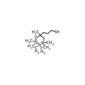 CC1(CCCS)C[Si](C)(C)[Si](C)(C)[Si](C)(C)O1